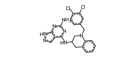 Nc1nc(NC2Cc3ccccc3N(Cc3ccc(Cl)c(Cl)c3)C2)c2cn[nH]c2n1